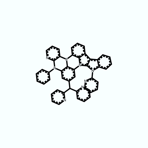 c1ccc(N2c3cc(C(c4ccccn4)c4ccccn4)cc4c3B(c3cccnc32)c2cccc3c5c6ccccc6n(-c6ccccn6)c5n-4c23)cc1